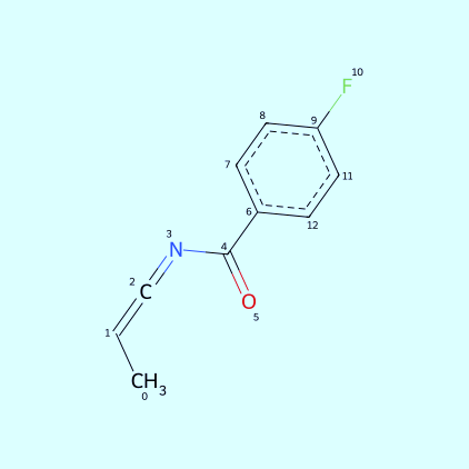 CC=C=NC(=O)c1ccc(F)cc1